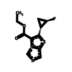 CCOC(=O)c1c([C@@H]2C[C@H]2F)sc2cncn12